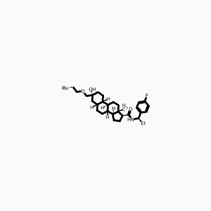 CC[C@@H](C)CCOC[C@@]1(O)CC[C@H]2[C@H](CC[C@@H]3[C@@H]2CC[C@]2(C)[C@@H](C(=O)N[C@H](CC)c4ccc(F)cc4)CC[C@@H]32)C1